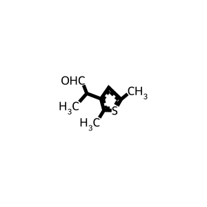 Cc1cc(C(C)C=O)c(C)s1